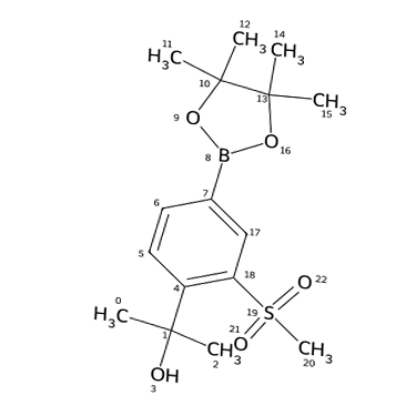 CC(C)(O)c1ccc(B2OC(C)(C)C(C)(C)O2)cc1S(C)(=O)=O